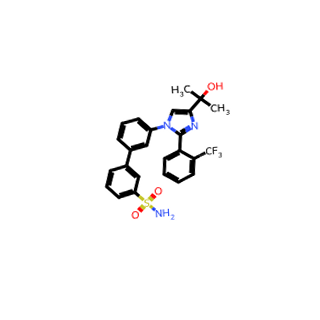 CC(C)(O)c1cn(-c2cccc(-c3cccc(S(N)(=O)=O)c3)c2)c(-c2ccccc2C(F)(F)F)n1